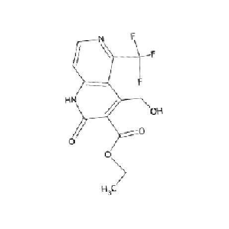 CCOC(=O)c1c(CO)c2c(C(F)(F)F)nccc2[nH]c1=O